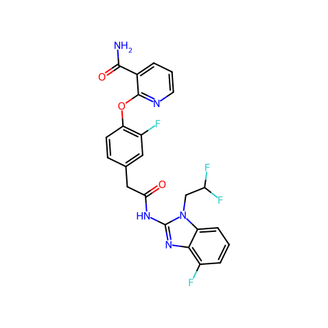 NC(=O)c1cccnc1Oc1ccc(CC(=O)Nc2nc3c(F)cccc3n2CC(F)F)cc1F